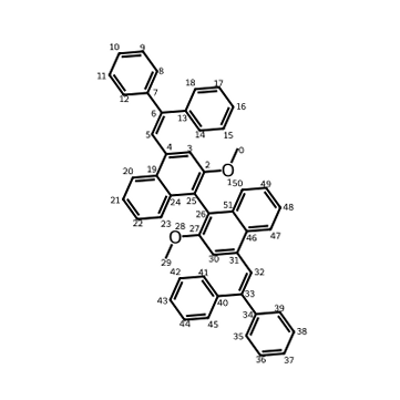 COc1cc(C=C(c2ccccc2)c2ccccc2)c2ccccc2c1-c1c(OC)cc(C=C(c2ccccc2)c2ccccc2)c2ccccc12